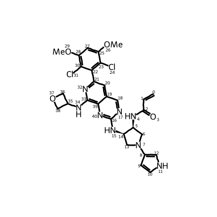 C=CC(=O)N[C@H]1CN(c2cc[nH]c2)C[C@H]1Nc1ncc2cc(-c3c(Cl)c(OC)cc(OC)c3Cl)nc(NC3COC3)c2n1